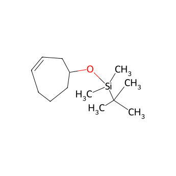 CC(C)(C)[Si](C)(C)OC1CC=CCCC1